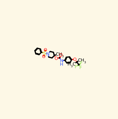 CC1(OC(=O)Nc2ccc(OC(C)(C)C(F)(F)F)cc2)CCN(S(=O)(=O)c2ccccc2)CC1